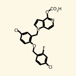 O=C(O)Oc1nccc2c1ccn2Cc1cc(Cl)ccc1OCc1ccc(Cl)cc1F